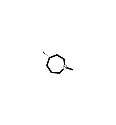 C[C@H]1CCCN(C)CC1